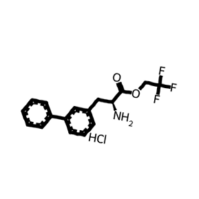 Cl.N[C@@H](Cc1cccc(-c2ccccc2)c1)C(=O)OCC(F)(F)F